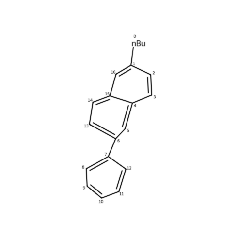 CCCCc1ccc2cc(-c3ccccc3)ccc2c1